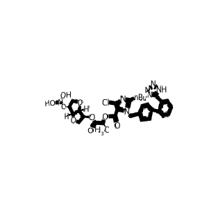 CCCCc1nc(Cl)c(C(=O)O[C@H](C)C(=O)O[C@H]2CO[C@H]3[C@@H]2OC[C@H]3ON(O)O)n1Cc1ccc(-c2ccccc2-c2nnn[nH]2)cc1